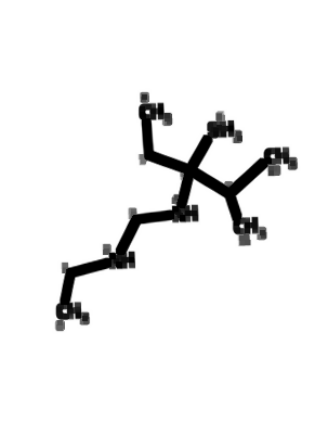 CCNCNC([SiH3])(CC)C(C)C